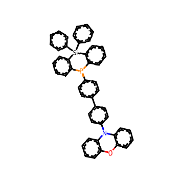 c1ccc([Si]2(c3ccccc3)c3ccccc3P(c3ccc(-c4ccc(N5c6ccccc6Oc6ccccc65)cc4)cc3)c3ccccc32)cc1